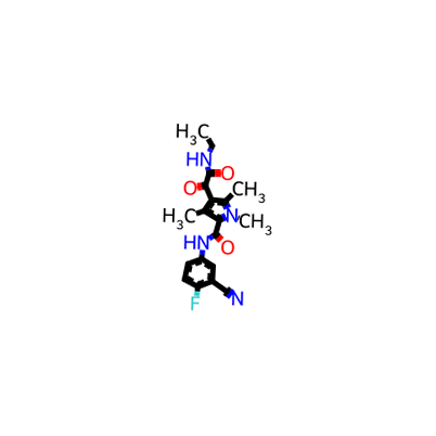 CCNC(=O)C(=O)c1c(C)c(C(=O)Nc2ccc(F)c(C#N)c2)n(C)c1C